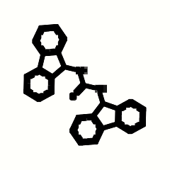 O=C(NC1c2ccccc2-c2ccccc21)NC1c2ccccc2-c2ccccc21